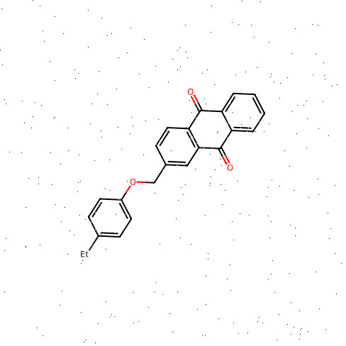 CCc1ccc(OCc2ccc3c(c2)C(=O)c2ccccc2C3=O)cc1